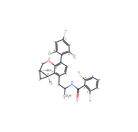 O=C(NC(Cc1ccc(-c2c(Cl)cc(F)cc2Cl)c2c1[C@H]1C[C@H]1CO2)C(=O)O)c1c(F)cccc1F